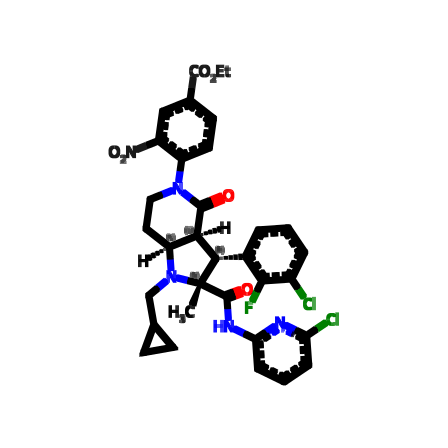 CCOC(=O)c1ccc(N2CC[C@H]3[C@@H](C2=O)[C@H](c2cccc(Cl)c2F)[C@](C)(C(=O)Nc2cccc(Cl)n2)N3CC2CC2)c([N+](=O)[O-])c1